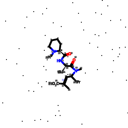 CCCN1CCCC[C@@H]1C(=O)N[C@H](C(=O)N(C)C(/C=C(\C)C(=O)OCC)C(C)C)C(C)(C)C